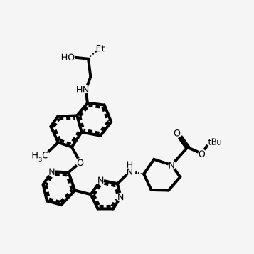 CC[C@@H](O)CNc1cccc2c(Oc3ncccc3-c3ccnc(N[C@H]4CCCN(C(=O)OC(C)(C)C)C4)n3)c(C)ccc12